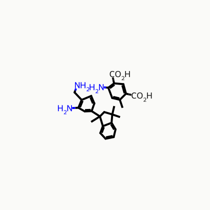 CC1(C)CC(C)(c2ccc(CN)c(N)c2)c2ccccc21.Cc1cc(N)c(C(=O)O)cc1C(=O)O